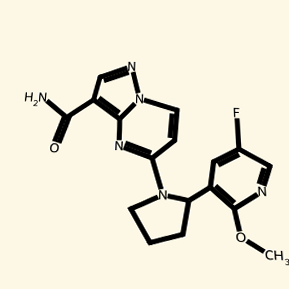 COc1ncc(F)cc1C1CCCN1c1ccn2ncc(C(N)=O)c2n1